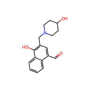 O=Cc1cc(CN2CCC(O)CC2)c(O)c2ccccc12